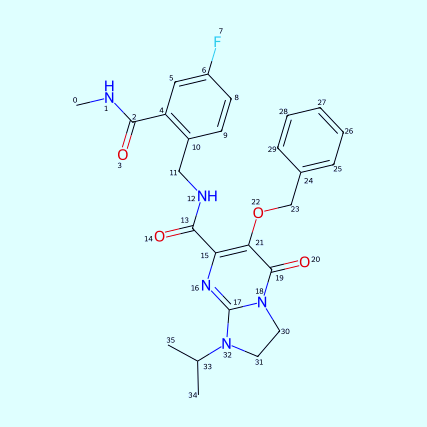 CNC(=O)c1cc(F)ccc1CNC(=O)c1nc2n(c(=O)c1OCc1ccccc1)CCN2C(C)C